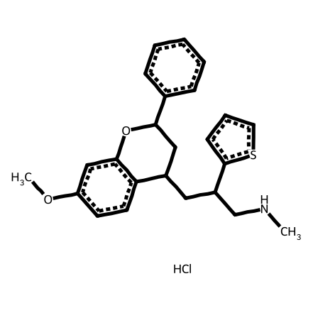 CNCC(CC1CC(c2ccccc2)Oc2cc(OC)ccc21)c1cccs1.Cl